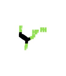 F.F.FC=C(F)F